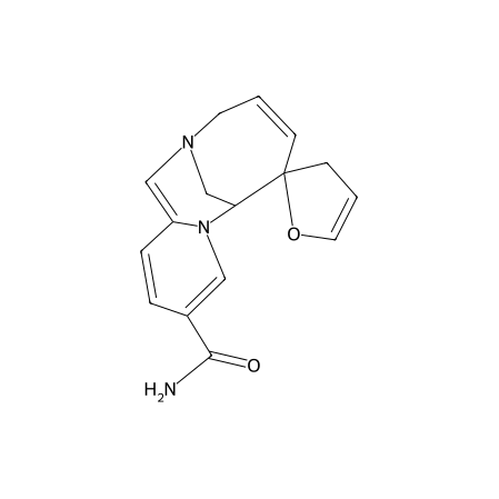 NC(=O)C1=CN2C(=CN3CC=CC4(CC=CO4)C2C3)C=C1